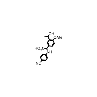 COc1ccc(C(Nc2ccc(C#N)cc2)C(=O)O)cc1C(C)O